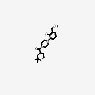 CC1(C)CC(C(=O)N2CCN(c3cccc(CO)c3F)CC2)CCO1